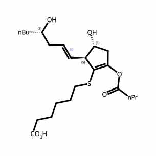 CCCC[C@H](O)C/C=C/[C@@H]1C(SCCCCCC(=O)O)=C(OC(=O)CCC)C[C@H]1O